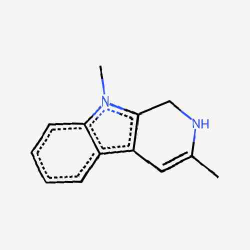 CC1=Cc2c(n(C)c3ccccc23)CN1